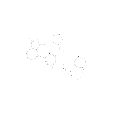 Cc1nc(-c2cccc3[nH]nc(C)c23)cc(OC2CCCC2)c1CN(C)[C@H]1CCCc2ccccc21